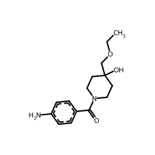 CCOCC1(O)CCN(C(=O)c2ccc(N)cc2)CC1